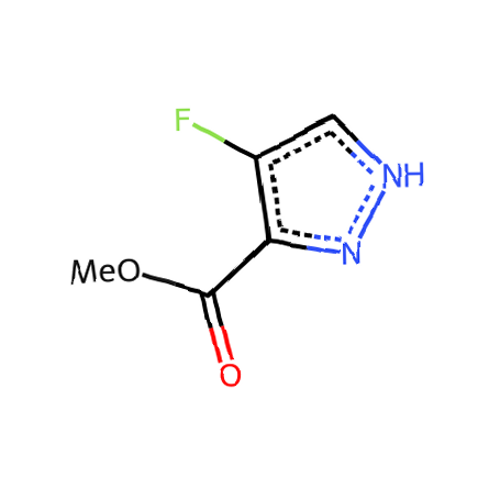 COC(=O)c1n[nH]cc1F